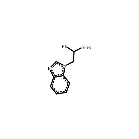 CCCCCCC(S)Cn1cnc2ccccc21